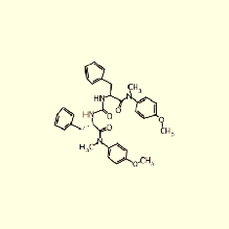 COc1ccc(N(C)C(=O)[C@H](Cc2ccccc2)NC(=O)N[C@@H](Cc2ccccc2)C(=O)N(C)c2ccc(OC)cc2)cc1